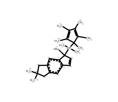 CCCC[C]1([Hf]([CH3])([CH3])[C]2(C)C(C)=C(C)C(C)=C2C)C=Cc2cc3c(cc21)CC(C)(C)C3